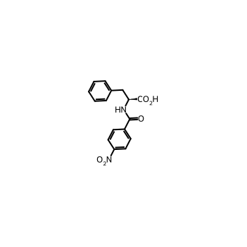 O=C(N[C@@H](Cc1ccccc1)C(=O)O)c1ccc([N+](=O)[O-])cc1